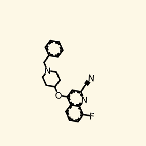 N#Cc1cc(OC2CCN(Cc3ccccc3)CC2)c2cccc(F)c2n1